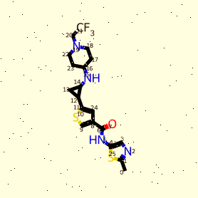 Cc1ncc(NC(=O)c2csc(C3CC3NC3CCN(CC(F)(F)F)CC3)c2)s1